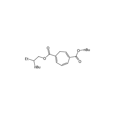 CCCCOC(=O)C1=CCC(C(=O)OCC(CC)CCCC)=CC=C1